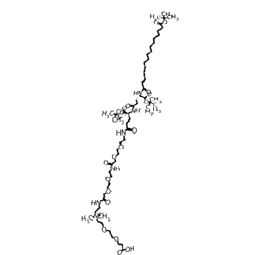 CC(C)(C)OC(=O)CCCCCCCCCCCCCCC(=O)N[C@@H](CCC(=O)N[C@@H](CCC(=O)NCCOCCOCC(=O)NCCOCCOCC(=O)NCC[N+](C)(C)CCOCCOCCC(=O)O)C(=O)OC(C)(C)C)C(=O)OC(C)(C)C